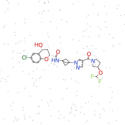 O=C(NC12CC(n3cc(C(=O)N4CC[C@@H](OC(F)F)C4)cn3)(C1)C2)[C@H]1C[C@@H](O)c2cc(Cl)ccc2O1